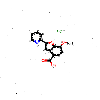 COc1ccc(C(=O)O)c2cc(-c3ccccn3)oc12.Cl